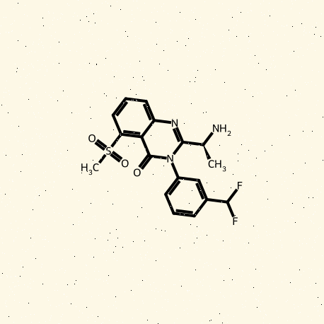 C[C@H](N)c1nc2cccc(S(C)(=O)=O)c2c(=O)n1-c1cccc(C(F)F)c1